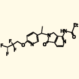 CCC(=O)Nc1nccc2c1CN(C(C)c1ccc(OCC(F)(F)C(F)F)nc1)C2=O